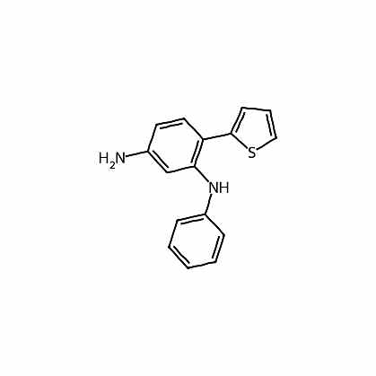 Nc1ccc(-c2cccs2)c(Nc2ccccc2)c1